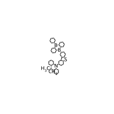 CC1(C)c2ccccc2N(c2ccc3sc4ccc(B5c6ccccc6B(c6ccccc6)c6ccccc65)cc4c3c2)c2ccccc21